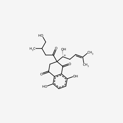 CC(C)=CC[C@@H](O)C1(C(=O)CC(C)CO)CC(=O)c2c(O)ccc(O)c2C1=O